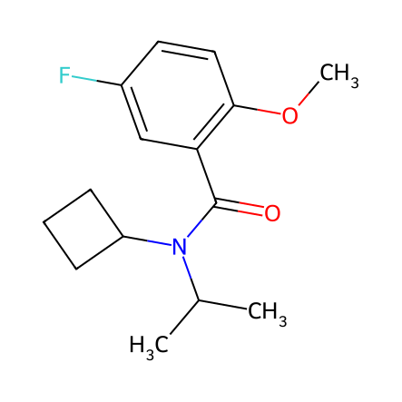 COc1ccc(F)cc1C(=O)N(C(C)C)C1CCC1